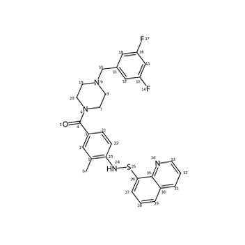 Cc1cc(C(=O)N2CCN(Cc3cc(F)cc(F)c3)CC2)ccc1NSc1cccc2cccnc12